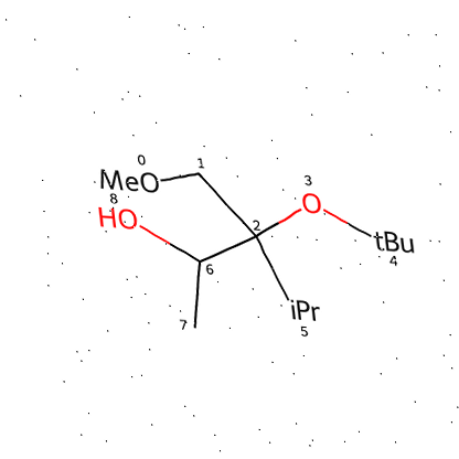 COCC(OC(C)(C)C)(C(C)C)C(C)O